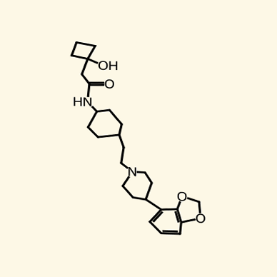 O=C(CC1(O)CCC1)NC1CCC(CCN2CCC(c3cccc4c3OCO4)CC2)CC1